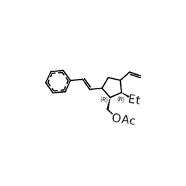 C=CC1CC(C=Cc2ccccc2)[C@H](COC(C)=O)[C@@H]1CC